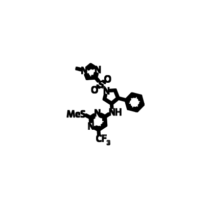 CSc1nc(NC2CN(S(=O)(=O)c3cn(C)cn3)CC2c2ccccc2)cc(C(F)(F)F)n1